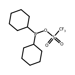 O=S(=O)(OB(C1CCCCC1)C1CCCCC1)C(F)(F)F